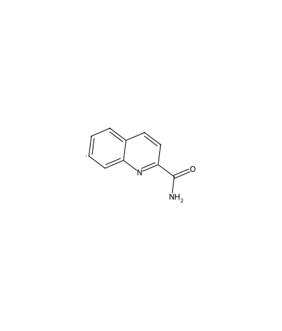 NC(=O)c1ccc2cc[c]cc2n1